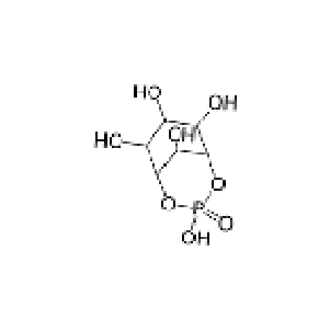 O=P1(O)OC2C(O)C(O)C(O)C(O1)C2O